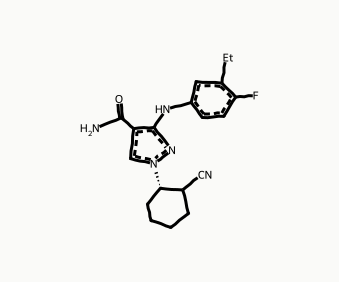 CCc1cc(Nc2nn([C@H]3CCCCC3C#N)cc2C(N)=O)ccc1F